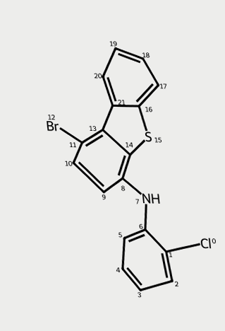 Clc1ccccc1Nc1ccc(Br)c2c1sc1ccccc12